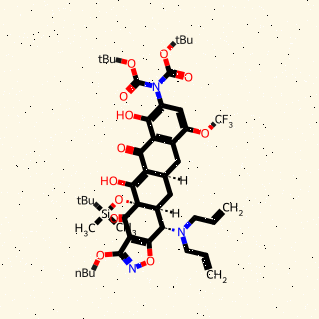 C=CCN(CC=C)[C@@H]1c2onc(OCCCC)c2C(=O)[C@@]2(O[Si](C)(C)C(C)(C)C)C(O)=C3C(=O)c4c(O)c(N(C(=O)OC(C)(C)C)C(=O)OC(C)(C)C)cc(OC(F)(F)F)c4C[C@H]3C[C@@H]12